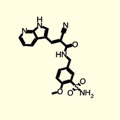 COc1ccc(CNC(=O)/C(C#N)=C/c2c[nH]c3ncccc23)cc1S(N)(=O)=O